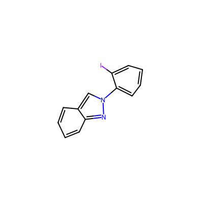 Ic1ccccc1-n1cc2ccccc2n1